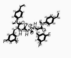 CCc1ccc(N(C)C(=O)[C@H](Cc2cc(F)cc(F)c2)NC(=O)NS(=O)(=O)N[C@@H](Cc2cc(F)cc(F)c2)C(=O)N(C)c2ccc(CC)cc2)cc1